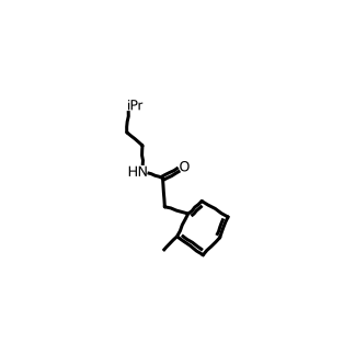 [CH2]C(C)CCNC(=O)Cc1ccccc1C